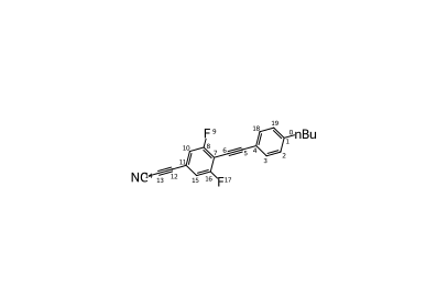 CCCCc1ccc(C#Cc2c(F)cc(C#CC#N)cc2F)cc1